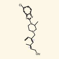 C=C/C(=C\C(C)=C/CO)CN1CCN(c2nc3ccc(Cl)cc3s2)C(C)C1